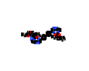 COC(=O)N[C@H](C(=O)N1CCC[C@H]1c1nc(-c2ccc(-c3ccc(-c4c[nH]c([C@@H]5CCCN5C(=O)OC(C)(C)C)n4)cc3)cc2)c[nH]1)C(C)C